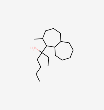 BC(CC)(CCCC)C1C(C)CCCC2CCCCCC21